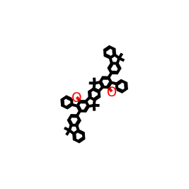 CC1(C)c2ccccc2-c2cc(-c3cc4c(c5oc6ccccc6c35)-c3cc5c(cc3C4(C)C)-c3c(cc(-c4ccc6c(c4)-c4ccccc4C6(C)C)c4c3oc3ccccc34)C5(C)C)ccc21